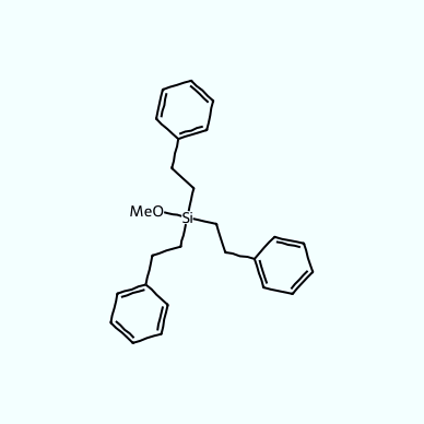 CO[Si](CCc1ccccc1)(CCc1ccccc1)CCc1ccccc1